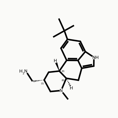 CN1C[C@H](CN)C[C@@H]2c3cc(C(C)(C)C)cc4[nH]cc(c34)C[C@H]21